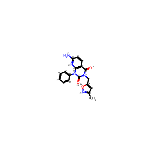 Cc1cc(Cn2c(=O)c3ccc(N)nc3n(-c3ccccc3)c2=O)on1